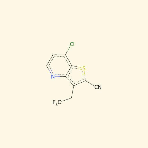 N#Cc1sc2c(Cl)ccnc2c1CC(F)(F)F